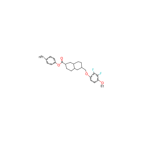 CCCc1ccc(OC(=O)C2CCC3CC(COc4ccc(OCC)c(F)c4F)CCC3C2)cc1